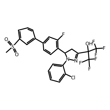 CS(=O)(=O)c1cccc(-c2ccc(C3CC(C(O)(C(F)(F)F)C(F)(F)F)=NN3c3ccccc3Cl)c(F)c2)c1